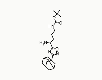 CC(C)(C)OC(=O)NCCCC(N)c1nc(C23CC4CC(CC(C4)C2)C3)no1